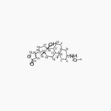 CONC1CC[C@@]2(C)C(CCC3C2CC[C@]2(C)[C@@H](C4=CC(=O)OC4)CC[C@]32O)C1